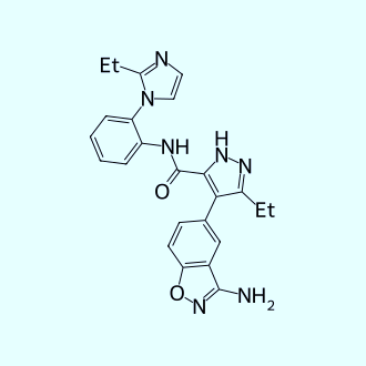 CCc1n[nH]c(C(=O)Nc2ccccc2-n2ccnc2CC)c1-c1ccc2onc(N)c2c1